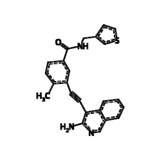 Cc1ccc(C(=O)NCc2ccsc2)cc1C#Cc1c(N)ncc2ccccc12